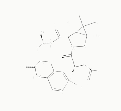 CC(C)(C)[C@H](NC(=O)C(F)(F)F)C(=O)N1C[C@H]2[C@@H]([C@H]1C(=O)N[C@H](C#N)C[C@@H]1Oc3cc(F)ccc3NC1=O)C2(C)C